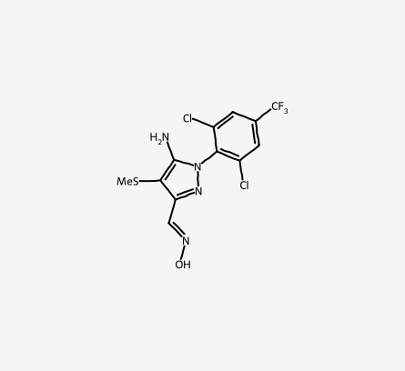 CSc1c(C=NO)nn(-c2c(Cl)cc(C(F)(F)F)cc2Cl)c1N